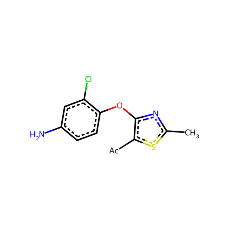 CC(=O)c1sc(C)nc1Oc1ccc(N)cc1Cl